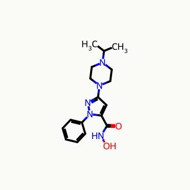 CC(C)N1CCN(c2cc(C(=O)NO)n(-c3ccccc3)n2)CC1